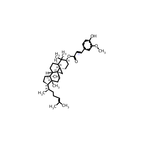 COc1cc(/C=C/C(=O)O[C@H]2CC[C@]34C[C@]35CC[C@]3(C)[C@@H]([C@H](C)CCC=C(C)C)CC[C@@]3(C)[C@@H]5CC[C@H]4C2(C)C)ccc1O